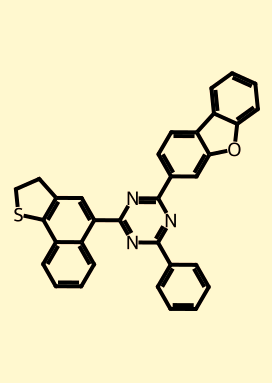 c1ccc(-c2nc(-c3ccc4c(c3)oc3ccccc34)nc(-c3cc4c(c5ccccc35)SCC4)n2)cc1